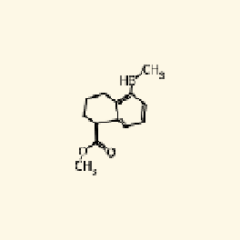 CBc1cccc2c1CCCC2C(=O)OC